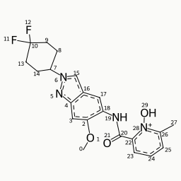 COc1cc2nn(C3CCC(F)(F)CC3)cc2cc1NC(=O)c1cccc(C)[n+]1O